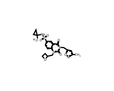 Cc1cc(Cn2c(=O)c3cc(S(=O)(=O)NC4(C)CC4)ccc3n(CC3CCO3)c2=O)on1